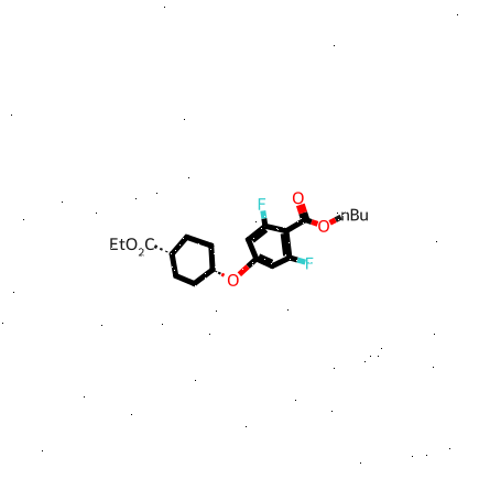 CCCCOC(=O)c1c(F)cc(O[C@H]2CC[C@@H](C(=O)OCC)CC2)cc1F